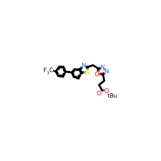 CC(C)(C)OC(=O)CCc1nnc(Cc2nc3cc(-c4ccc(C(F)(F)F)cc4)ccc3s2)o1